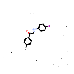 N#Cc1ccc(C(=O)CNc2ccc(I)cc2)cc1